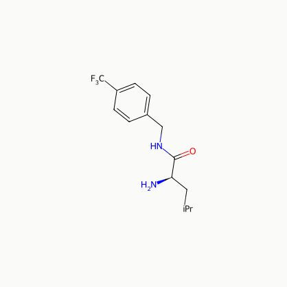 CC(C)C[C@@H](N)C(=O)NCc1ccc(C(F)(F)F)cc1